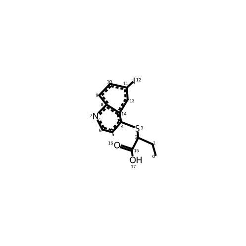 CCC(Sc1ccnc2ccc(I)cc12)C(=O)O